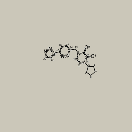 O=c1c(=O)n(C2CCCC2)ccn1Cc1ccc(-n2ccnn2)nn1